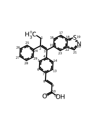 CC/C(=C(/c1ccc(/C=C/C(=O)O)cc1)c1ccc2sncc2c1)c1ccccc1